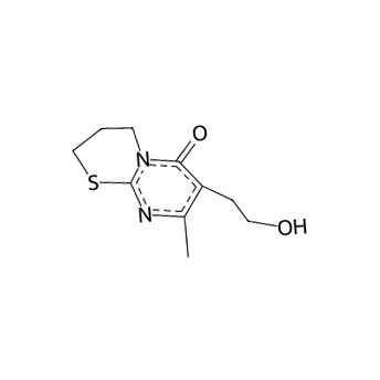 Cc1nc2n(c(=O)c1CCO)CCCS2